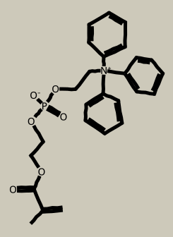 C=C(C)C(=O)OCCOP(=O)([O-])OCC[N+](c1ccccc1)(c1ccccc1)c1ccccc1